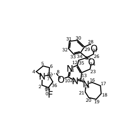 F[C@H]1CN2CCC[C@@]2(COc2nc3c(c(N4CCCCCC4)n2)COC2(COCc4ccccc42)C3)C1